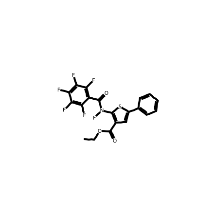 CCOC(=O)c1cc(-c2ccccc2)sc1N(F)C(=O)c1c(F)c(F)c(F)c(F)c1F